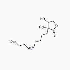 CCCCCCCCCCCC/C=C\CCCCC1(O)C(=O)OCC1O